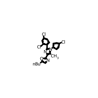 CCCCc1cnc(-c2nc(-c3ccc(Cl)cc3Cl)n(-c3ccc(Cl)cc3)c2C)o1